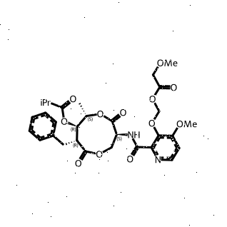 COCC(=O)OCOc1c(OC)ccnc1C(=O)N[C@H]1COC(=O)[C@H](Cc2ccccc2)[C@@H](OC(=O)C(C)C)[C@H](C)OC1=O